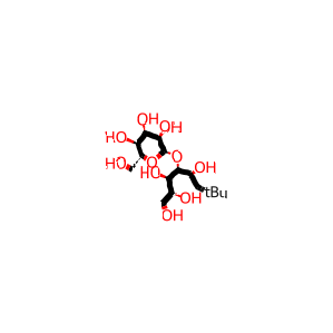 CC(C)(C)C[C@H](O)[C@@H](O[C@@H]1O[C@H](CO)[C@@H](O)[C@H](O)[C@H]1O)[C@H](O)[C@H](O)CO